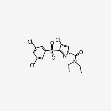 CCN(CC)C(=O)n1cc(Cl)c(S(=O)(=O)c2cc(Cl)cc(Cl)c2)n1